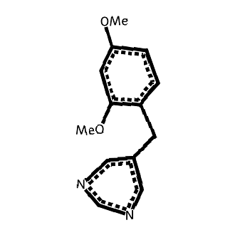 COc1ccc(Cc2cncnc2)c(OC)c1